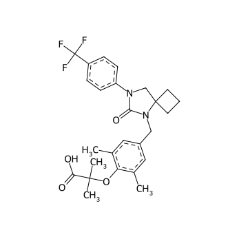 Cc1cc(CN2C(=O)N(c3ccc(C(F)(F)F)cc3)CC23CCC3)cc(C)c1OC(C)(C)C(=O)O